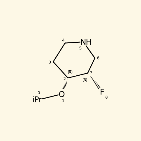 CC(C)O[C@@H]1CCNC[C@@H]1F